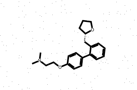 CN(C)CCOc1ccc(-c2ccccc2C[C@@H]2CCCO2)cc1